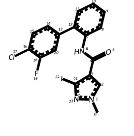 Cn1cc(C(=O)Nc2ccccc2-c2ccc(Cl)c(F)c2)c(I)n1